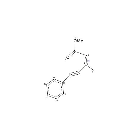 COC(=O)/C=C(/C)C#Cc1ccccc1